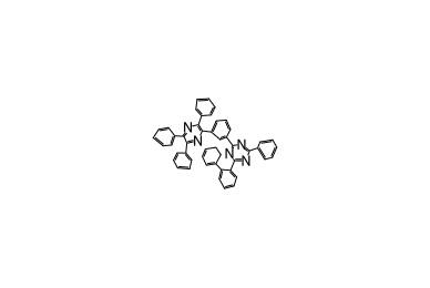 C1=CCCC(c2ccccc2-c2nc(-c3ccccc3)nc(-c3cccc(-c4nc(-c5ccccc5)c(-c5ccccc5)nc4-c4ccccc4)c3)n2)=C1